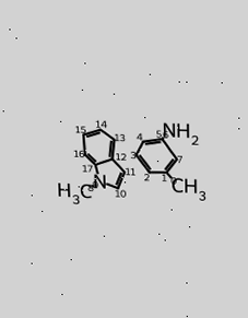 Cc1cccc(N)c1.Cn1ccc2ccccc21